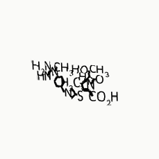 C[C@@H](O)[C@H]1C(=O)N2C(C(=O)O)=C(SC3CN(CC4CCC(N(C)C(=N)N)CC4)C3)[C@H](C)[C@H]12